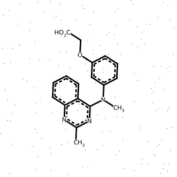 Cc1nc(N(C)c2cccc(OCC(=O)O)c2)c2ccccc2n1